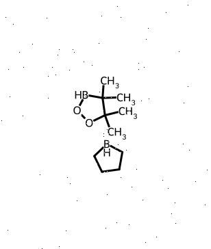 B1CCCC1.CC1(C)BOOC1(C)C